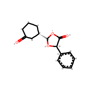 O=C1CCC[C@H](C2OC(=O)C(c3ccccc3)O2)C1